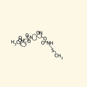 CCSCCNC(=O)OC1=NOC2(CCN(S(=O)(=O)CC34CCC(CC3=O)C4(C)C)CC2)C1